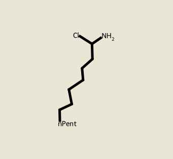 CCCCCCCCCCCC(N)Cl